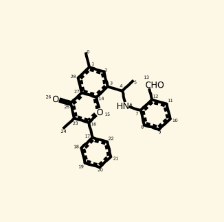 Cc1cc(C(C)Nc2ccccc2C=O)c2oc(-c3ccccc3)c(C)c(=O)c2c1